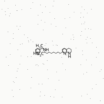 C[C@@H](N[C@@H](CCCCCCCc1ccc2c(n1)NCCC2)C(=O)O)c1cccnc1